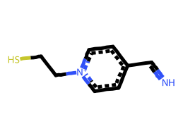 N=Cc1cc[n+](CCS)cc1